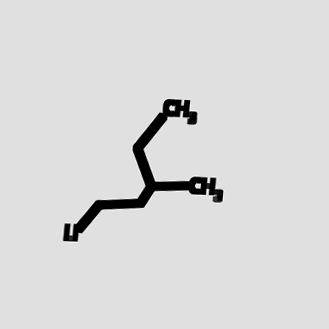 [Li][CH2]CC(C)CC